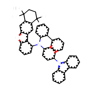 CC1(C)CCC(C)(C)c2cc3c(cc21)oc1cccc(N(c2ccc(-n4c5ccccc5c5ccccc54)cc2)c2ccccc2-c2ccccc2)c13